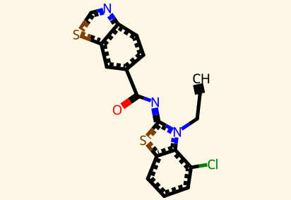 C#CCn1/c(=N/C(=O)c2ccc3ncsc3c2)sc2cccc(Cl)c21